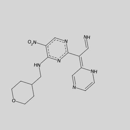 N=C/C(=C1/C=NC=CN1)c1ncc([N+](=O)[O-])c(NCC2CCOCC2)n1